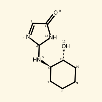 O=C1C=NC(N[C@@H]2CCCC[C@H]2O)N1